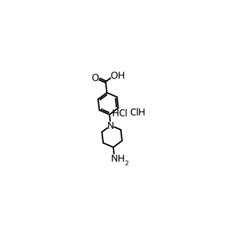 Cl.Cl.NC1CCN(c2ccc(C(=O)O)cc2)CC1